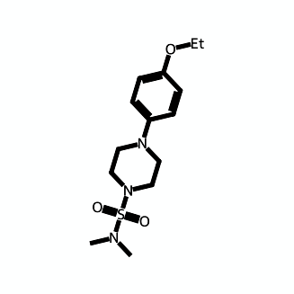 CCOc1ccc(N2CCN(S(=O)(=O)N(C)C)CC2)cc1